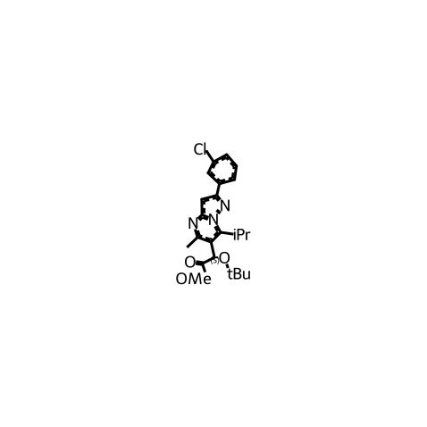 COC(=O)[C@@H](OC(C)(C)C)c1c(C)nc2cc(-c3cccc(Cl)c3)nn2c1C(C)C